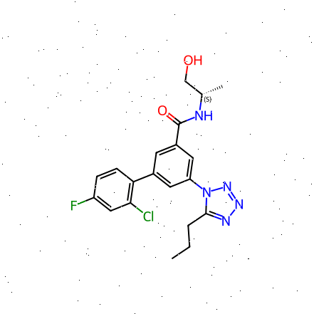 CCCc1nnnn1-c1cc(C(=O)N[C@@H](C)CO)cc(-c2ccc(F)cc2Cl)c1